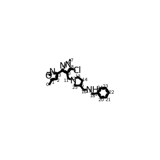 Cc1cc(-c2nn(C)c(Cl)c2CN2CCC(CNCc3ccccc3)C2)no1